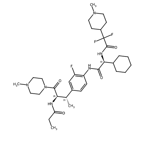 CCC(=O)N[C@@H](C(=O)N1CCN(C)CC1)[C@@H](C)c1ccc(NC(=O)[C@@H](NC(=O)C(F)(F)C2CCN(C)CC2)C2CCCCC2)c(F)c1